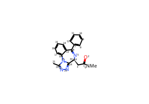 CNC(=O)C[C@@H]1N=C(c2ccccc2)c2ccccc2-n2c(C)nnc21